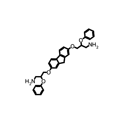 NCC(COc1ccc2c(c1)Cc1cc(OCC(CN)Oc3ccccc3)ccc1-2)Oc1ccccc1